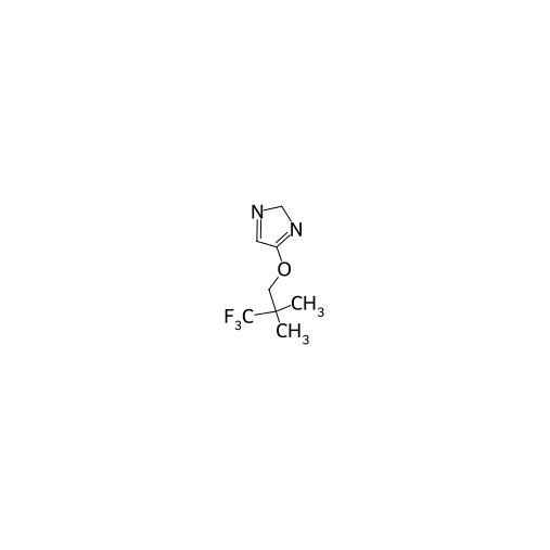 CC(C)(COC1=NCN=C1)C(F)(F)F